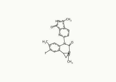 CC#CC(=O)N(c1ccc2c(n1)c(=O)[nH]n2C)c1cc(C)c(I)cc1C1CC1